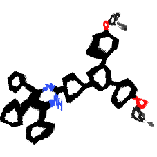 FC(F)(F)Oc1ccc(-c2cc(-c3ccc(OC(F)(F)F)cc3)cc(C3C=CC(C4=NC(C5=CC=CCC5)=C(C5C=CCCC5)C(C5C=CC=CC5)N4)CC3)c2)cc1